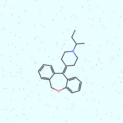 CCC(C)N1CCC(=C2c3ccccc3COc3ccccc32)CC1